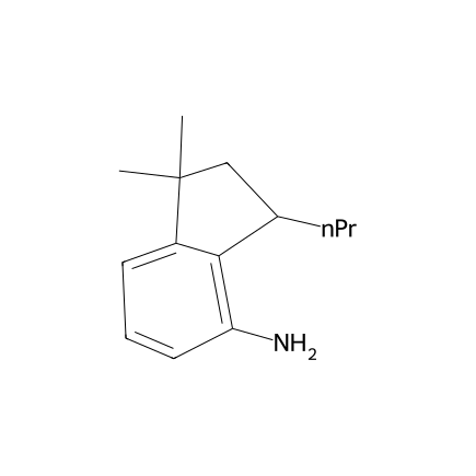 CCCC1CC(C)(C)c2cccc(N)c21